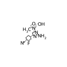 C[C@@H]1CO[C@H](CO)CN1c1cc(-c2ccc(C#N)c(F)c2)nc(N)n1